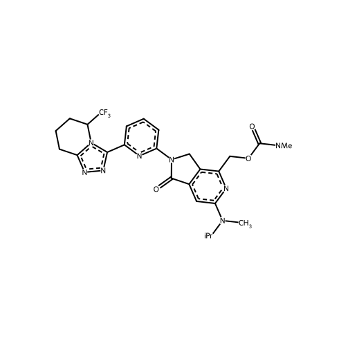 CNC(=O)OCc1nc(N(C)C(C)C)cc2c1CN(c1cccc(-c3nnc4n3C(C(F)(F)F)CCC4)n1)C2=O